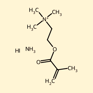 C=C(C)C(=O)OCC[N+](C)(C)C.I.N